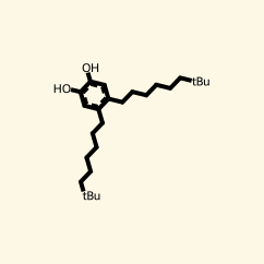 CC(C)(C)CCCCCCc1cc(O)c(O)cc1CCCCCCC(C)(C)C